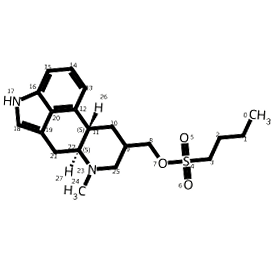 CCCCS(=O)(=O)OCC1C[C@H]2c3cccc4[nH]cc(c34)C[C@@H]2N(C)C1